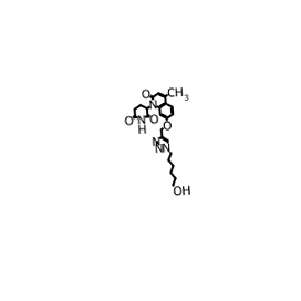 Cc1cc(=O)n(C2CCC(=O)NC2=O)c2cc(OCc3cn(CCCCCCO)nn3)ccc12